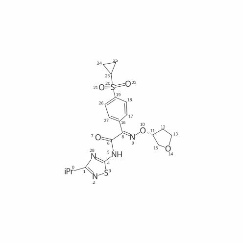 CC(C)c1nsc(NC(=O)/C(=N/O[C@@H]2CCOC2)c2ccc(S(=O)(=O)C3CC3)cc2)n1